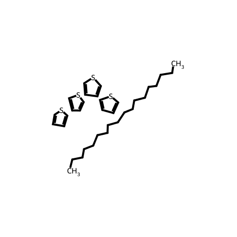 CCCCCCCCCCCCCCCCCC.c1ccsc1.c1ccsc1.c1ccsc1.c1ccsc1